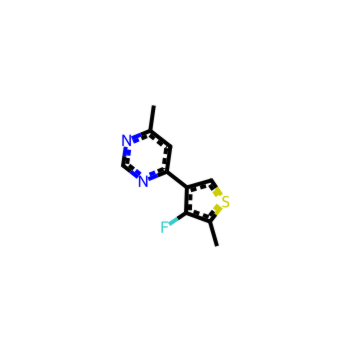 Cc1cc(-c2csc(C)c2F)ncn1